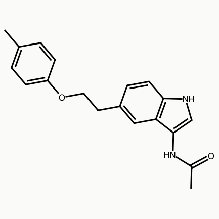 CC(=O)Nc1c[nH]c2ccc(CCOc3ccc(C)cc3)cc12